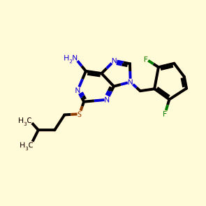 CC(C)CCSc1nc(N)c2ncn(Cc3c(F)cccc3F)c2n1